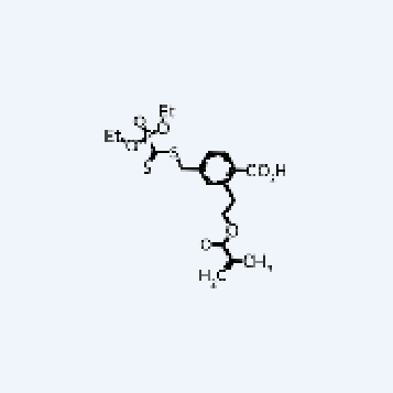 C=C(C)C(=O)OCCc1cc(CSC(=S)P(=O)(OCC)OCC)ccc1C(=O)O